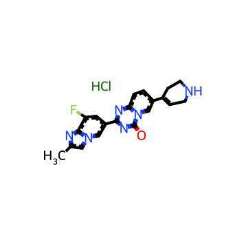 Cc1cn2cc(-c3nc(=O)n4cc(C5=CCNCC5)ccc4n3)cc(F)c2n1.Cl